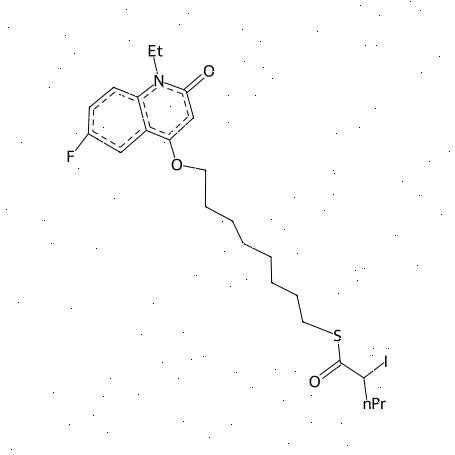 CCCC(I)C(=O)SCCCCCCCCOc1cc(=O)n(CC)c2ccc(F)cc12